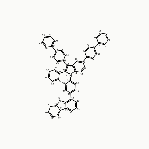 c1ccc(-c2ccc(-c3ccc4c(c3)c(-c3ccc(-c5ccccc5)cc3)c(-c3ccccc3)n4-c3ccc(-c4cccc5c4sc4ccccc45)cc3)cc2)cc1